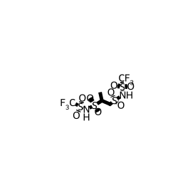 CC(CS(=O)(=O)NS(=O)(=O)C(F)(F)F)S(=O)(=O)NS(=O)(=O)C(F)(F)F